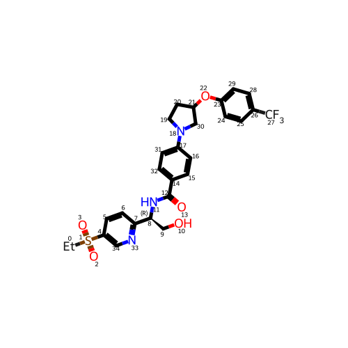 CCS(=O)(=O)c1ccc([C@H](CO)NC(=O)c2ccc(N3CCC(Oc4ccc(C(F)(F)F)cc4)C3)cc2)nc1